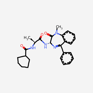 C[C@H](NC(=O)C1CCCCC1)C(=O)N[C@H]1N=C(c2ccccc2)c2ccccc2N(C)C1=O